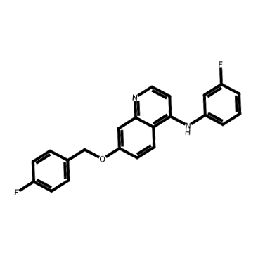 Fc1ccc(COc2ccc3c(Nc4cccc(F)c4)ccnc3c2)cc1